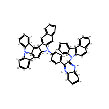 c1ccc2cc3c(cc2c1)c1c2c4ccccc4n4c5ccccc5c(cc1n3-c1ccc(-c3nc5ccccc5nc3-n3c5ccccc5c5c6ccccc6ccc53)cc1)c24